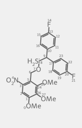 COc1cc([N+](=O)[O-])c(CO[SiH2]C(c2ccc(F)cc2)c2ccc(F)cc2)c(OC)c1OC